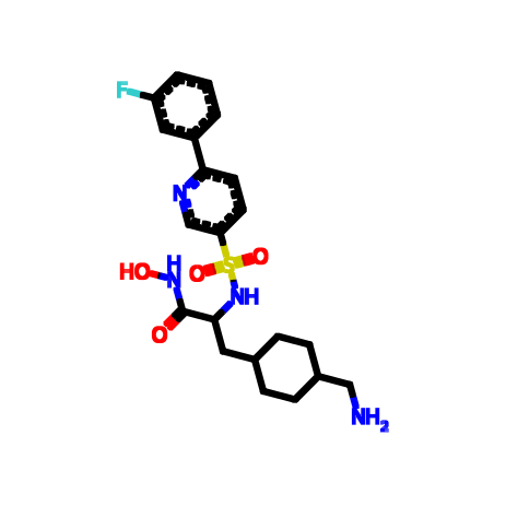 NCC1CCC(CC(NS(=O)(=O)c2ccc(-c3cccc(F)c3)nc2)C(=O)NO)CC1